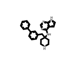 c1ccc(-c2cccc(CC3(Nc4ncnc5[nH]ccc45)CCNCC3)c2)cc1